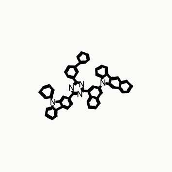 c1ccc(-c2cccc(-c3nc(-c4ccc5c6ccccc6n(-c6ccccc6)c5c4)nc(-c4cc(-n5c6ccccc6c6cc7ccccc7cc65)cc5ccccc45)n3)c2)cc1